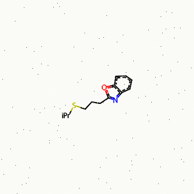 CC(C)SCCCc1nc2ccccc2o1